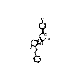 CC1CC=c2c([nH]c(=N)n2CC(=O)c2ccc(Cl)cc2)=C1CCc1ccccc1